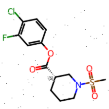 CS(=O)(=O)N1CCC[C@H](C(=O)Oc2ccc(Cl)c(F)c2)C1